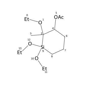 CCOC1(C)C(OC(C)=O)CCC[Si]1(OCC)OCC